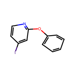 Ic1ccnc(Oc2ccccc2)c1